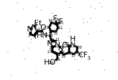 CCn1nccc1C(=O)N[C@H](c1cn2nc(CC3C[C@@H](C(F)(F)F)CNC3=O)c(CO)cc2n1)C1CCC(F)(F)CC1